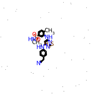 CNS(=O)(=O)c1ccc(C)c(Nc2cc(Nc3ccc(CC#N)cc3)ncn2)c1.S